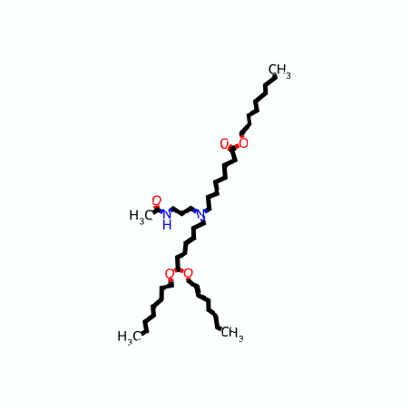 CCCCCCCCCOC(=O)CCCCCCCN(CCCCCCC(OCCCCCCCC)OCCCCCCCC)CCCNC(C)=O